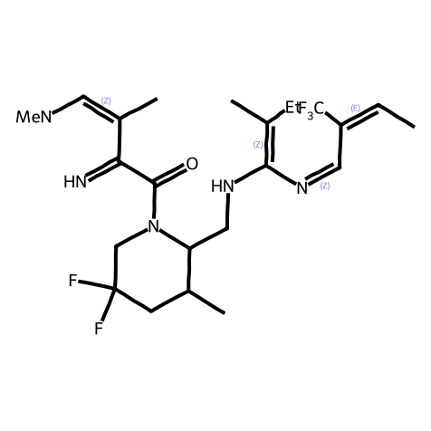 C\C=C(/C=N\C(NCC1C(C)CC(F)(F)CN1C(=O)C(=N)/C(C)=C\NC)=C(\C)CC)C(F)(F)F